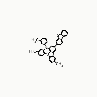 Cc1cccc(N2c3cc(C)ccc3B3c4ccc(C)cc4-c4cc(-c5ccc6c(c5)sc5ccccc56)cc2c43)c1